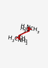 CCCCC(c1ccc(CCCCCCCCCCCCCCc2ccc(C(CCCC)c3ccc(N)cc3C)cc2)cc1)c1ccc(N)cc1C